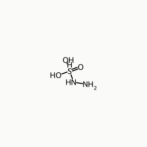 NN[SH](=O)(O)O